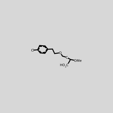 COC(CCOCCc1ccc(Cl)cc1)C(=O)O